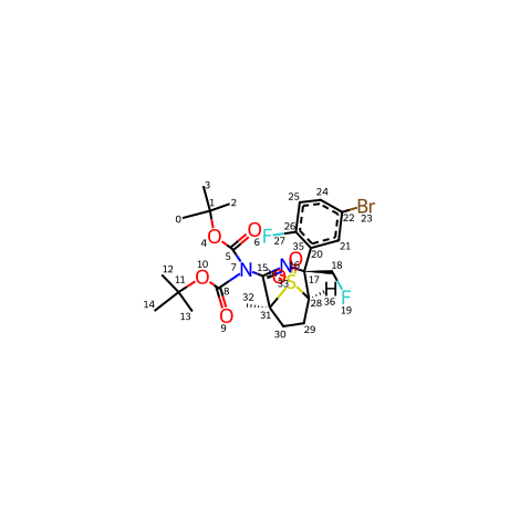 CC(C)(C)OC(=O)N(C(=O)OC(C)(C)C)C1=N[C@](CF)(c2cc(Br)ccc2F)[C@H]2CC[C@]1(C)S2(=O)=O